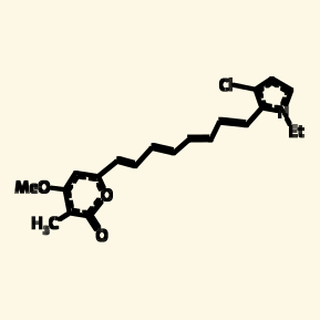 CCn1ccc(Cl)c1/C=C/C=C/C=C/C=C/c1cc(OC)c(C)c(=O)o1